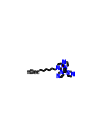 CCCCCCCCCCCCCCCCn1ccnc1[N+]1(B(n2ccnc2)n2ccnc2)C=CN=C1